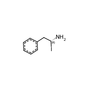 N[C@H](I)Cc1ccccc1